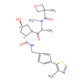 Cc1ncsc1-c1ccc(CNC(=O)[C@@H]2C[C@@H](O)CN2C(=O)C(C)N(C)C(=O)C2(C)COC2)cc1